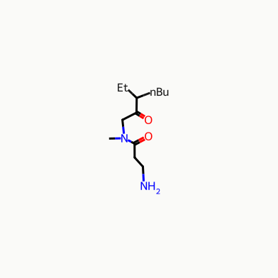 CCCCC(CC)C(=O)CN(C)C(=O)CCN